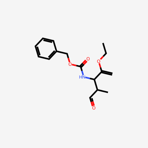 C=C(OCC)C(NC(=O)OCc1ccccc1)C(C)C=O